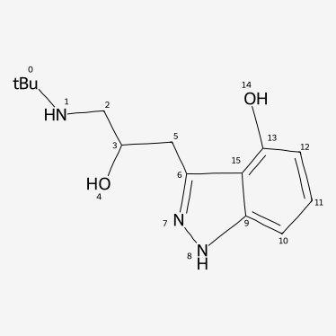 CC(C)(C)NCC(O)Cc1n[nH]c2cccc(O)c12